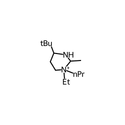 CCC[N+]1(CC)CCC(C(C)(C)C)NC1C